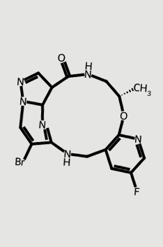 C[C@H]1CNC(=O)C2C=NN3C=C(Br)C(=NC23)NCc2cc(F)cnc2O1